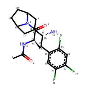 CC(=O)N[C@H](C)C(=O)N1C2CCC1CC([C@H](N)Cc1cc(F)c(F)cc1F)C2